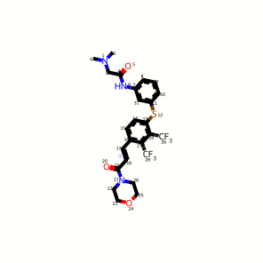 CN(C)CC(=O)Nc1cccc(Sc2ccc(/C=C/C(=O)N3CCOCC3)c(C(F)(F)F)c2C(F)(F)F)c1